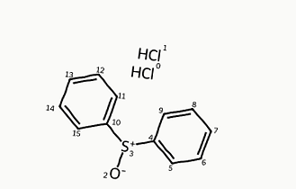 Cl.Cl.[O-][S+](c1ccccc1)c1ccccc1